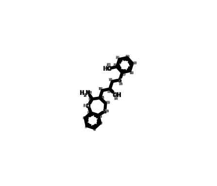 NC1Oc2ccccc2SCC1CC(O)CSc1ccccc1O